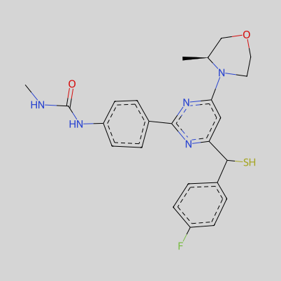 CNC(=O)Nc1ccc(-c2nc(C(S)c3ccc(F)cc3)cc(N3CCOC[C@@H]3C)n2)cc1